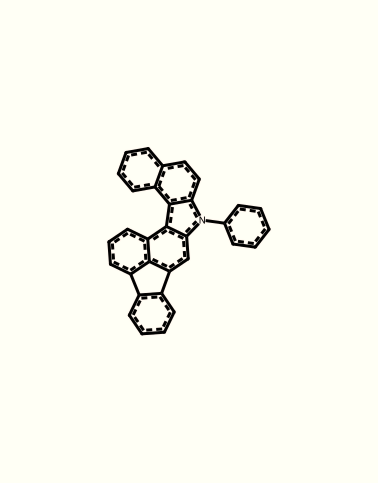 c1ccc(-n2c3ccc4ccccc4c3c3c4cccc5c4c(cc32)-c2ccccc2-5)cc1